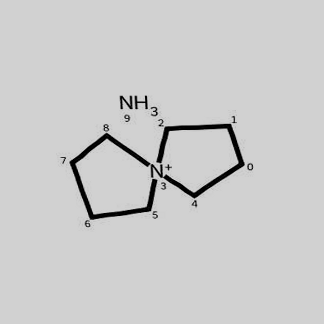 C1CC[N+]2(C1)CCCC2.N